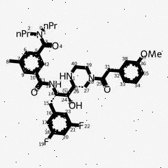 CCCN(CCC)C(=O)c1cc(C)cc(C(=O)N[C@@H](Cc2cc(F)cc(F)c2)[C@H](O)[C@H]2CN(C(=O)Cc3cccc(OC)c3)CCN2)c1